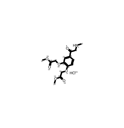 CNCC(=O)c1ccc(OCC(=O)OC)c(OCC(=O)OC)c1.Cl